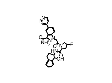 NC(=O)c1nn(CC(=O)N2CC(F)CC2C(=O)NC2CCc3ccccc3C2O)c2ccc(-c3ccnnc3)cc12